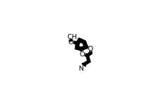 COc1ccc2c(c1)OC(CC#N)CO2